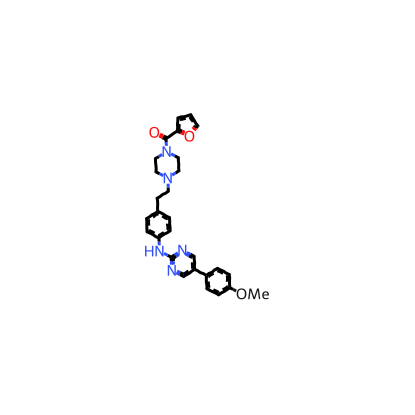 COc1ccc(-c2cnc(Nc3ccc(CCN4CCN(C(=O)c5ccco5)CC4)cc3)nc2)cc1